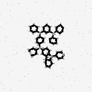 c1ccc(N(c2ccccc2)c2cccc(N(c3ccccc3)c3ccc(N(c4ccccc4)c4ccc5c(c4)c4ccccc4n5-c4ccncc4)cc3)c2)cc1